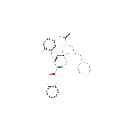 C=C(Nc1ccc(F)c(C)c1)N(CCCN1CCOCC1)CC1(C)C=CC(C(=O)Nc2ccccc2N)=NC1